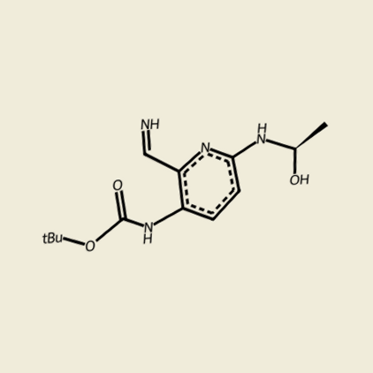 C[C@@H](O)Nc1ccc(NC(=O)OC(C)(C)C)c(C=N)n1